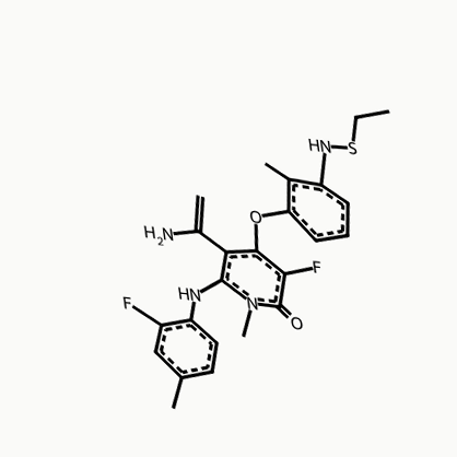 C=C(N)c1c(Oc2cccc(NSCC)c2C)c(F)c(=O)n(C)c1Nc1ccc(C)cc1F